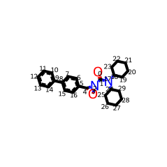 O=C(N1OC1c1ccc(-c2ccccc2)cc1)N(C1CCCCC1)C1CCCCC1